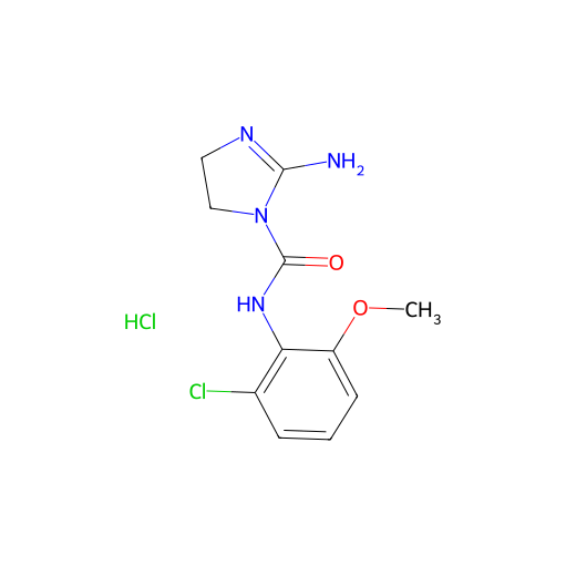 COc1cccc(Cl)c1NC(=O)N1CCN=C1N.Cl